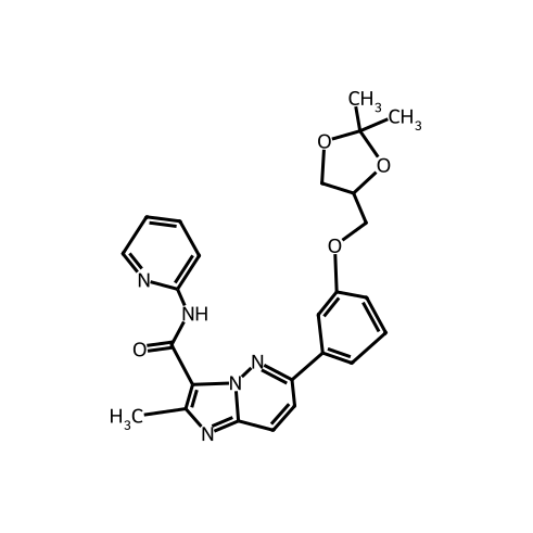 Cc1nc2ccc(-c3cccc(OCC4COC(C)(C)O4)c3)nn2c1C(=O)Nc1ccccn1